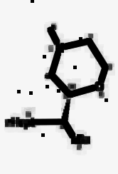 CCCCCCCC(CCCC)[C@@H]1CN(C)CCO1